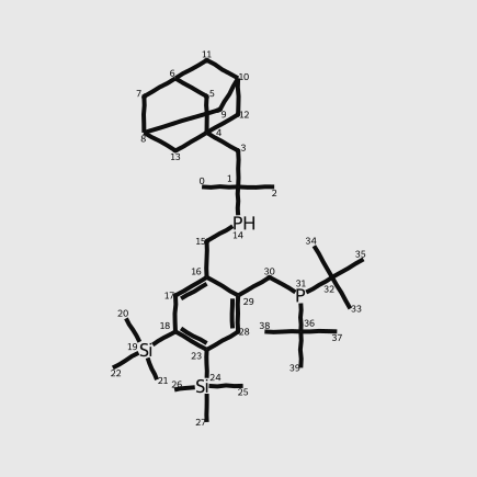 CC(C)(CC12CC3CC(CC(C3)C1)C2)PCc1cc([Si](C)(C)C)c([Si](C)(C)C)cc1CP(C(C)(C)C)C(C)(C)C